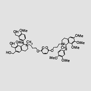 COc1ccc(C2c3c(cc(CO)c(CO)c3OC)CC[N+]2(C)CCCOC(=O)/C=C\C(=O)OCCC[N+]2(C)CCc3cc(OC)c(OC)c(OC)c3C2Cc2ccc(OC)c(OC)c2)cc1CO